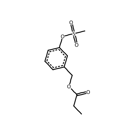 CCC(=O)OCc1cccc(OS(C)(=O)=O)c1